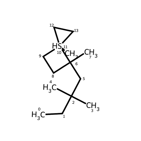 CCC(C)(C)CC1(C)CC[SH]12(C)CC2